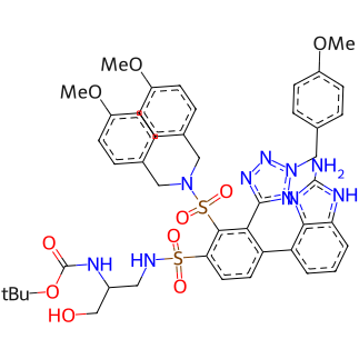 COc1ccc(CN(Cc2ccc(OC)cc2)S(=O)(=O)c2c(S(=O)(=O)NCC(CO)NC(=O)OC(C)(C)C)ccc(-c3cccc4[nH]c(N)nc34)c2-c2nnn(Cc3ccc(OC)cc3)n2)cc1